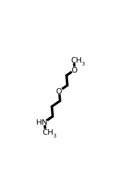 CNCCCOCCOC